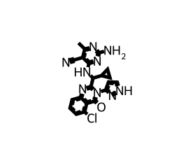 Cc1nc(N)nc(NC(c2nc3cccc(Cl)c3c(=O)n2-c2cc[nH]n2)C2CC2)c1C#N